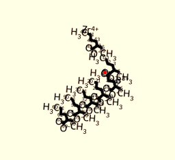 CCCCC(CC)C(=O)[O-].CCCCC(CC)C(=O)[O-].CCCCC(CC)C(=O)[O-].CCCCC(CC)C(=O)[O-].CCCCC(CC)C(=O)[O-].CCCCC(CC)C(=O)[O-].CCCCC(CC)C(=O)[O-].[B+3].[Zr+4]